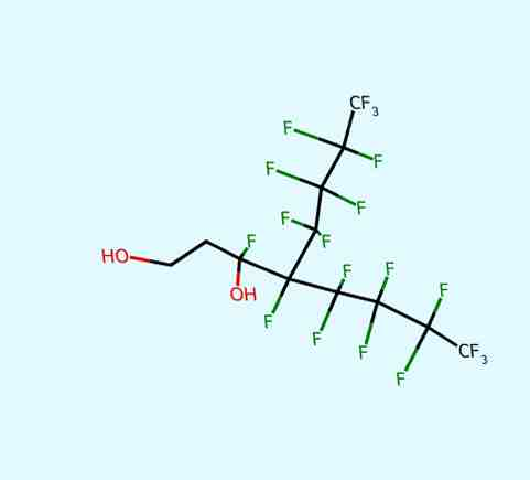 OCCC(O)(F)C(F)(C(F)(F)C(F)(F)C(F)(F)C(F)(F)F)C(F)(F)C(F)(F)C(F)(F)C(F)(F)F